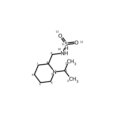 CC(C)N1CCCCC1CN[SH](=O)=O